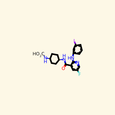 O=C(O)N[C@H]1CC[C@@H](NC(=O)c2cc(F)cnc2Nc2cccc(I)c2)CC1